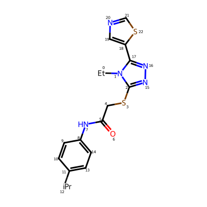 CCn1c(SCC(=O)Nc2ccc(C(C)C)cc2)nnc1-c1cncs1